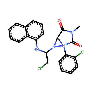 CN1C(=O)C2N(C(CCl)Nc3cccc4ccccc34)[N+]2(c2ccccc2Cl)C1=O